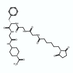 BC(=O)N1CCC(NC(=O)CNC(=O)[C@H](Cc2ccccc2)NC(=O)CNC(=O)CNC(=O)CCCCCN2C(=O)CCC2=O)CC1